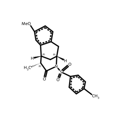 COc1ccc2c(c1)[C@@H]1C[C@H](C2)N(S(=O)(=O)c2ccc(C)cc2)C(=O)[C@@H]1C